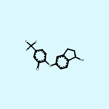 OC1CCc2cc(Oc3ccc(C(F)(F)F)cc3Cl)ccc21